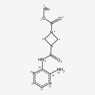 CC(C)(C)OC(=O)N1CC(C(=O)Nc2nccnc2N)C1